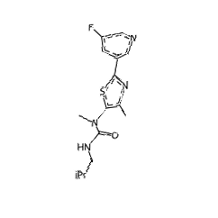 Cc1nc(-c2cncc(F)c2)sc1N(C)C(=O)NCC(C)C